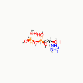 CCCO.N.N.O=[PH](O)O[PH](=O)O